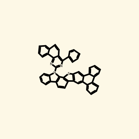 c1ccc(-c2nc(-n3c4ccccc4c4ccc5c6cc7c8ccccc8c8ccccc8c7cc6sc5c43)nc3c2ccc2ccccc23)cc1